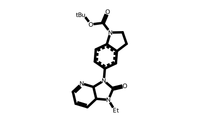 CCN1C(=O)N(c2ccc3c(c2)CCN3C(=O)OC(C)(C)C)C2N=CC=CC21